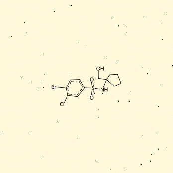 O=S(=O)(NC1(CO)CCCC1)c1ccc(Br)c(Cl)c1